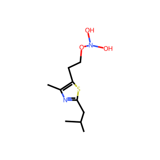 Cc1nc(CC(C)C)sc1CCON(O)O